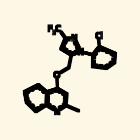 Cc1cc(OCc2cc(C(F)(F)F)nn2-c2ccccc2Cl)c2ccccc2n1